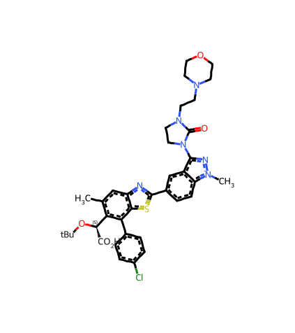 Cc1cc2nc(-c3ccc4c(c3)c(N3CCN(CCN5CCOCC5)C3=O)nn4C)sc2c(-c2ccc(Cl)cc2)c1[C@H](OC(C)(C)C)C(=O)O